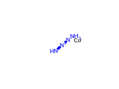 N.[Cu].[N-]=[N+]=N